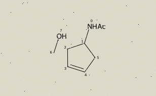 CC(=O)NC1CC=CC1.CO